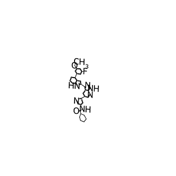 COc1cc(F)cc(-c2cccc3[nH]c(-c4n[nH]c5ncc(-c6cncc(NC(=O)C7CCCCC7)c6)cc45)cc23)c1